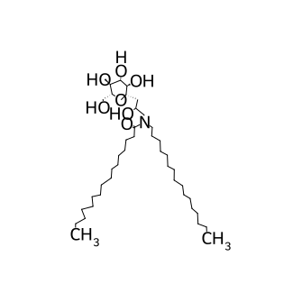 CCCCCCCCCCCCCCCCN(CC(O)C[C@@H]1O[C@H](CO)[C@@H](O)[C@H](O)[C@H]1O)C(=O)CCCCCCCCCCCCCCC